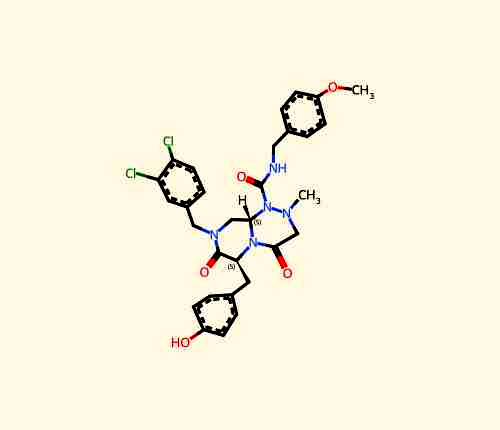 COc1ccc(CNC(=O)N2[C@H]3CN(Cc4ccc(Cl)c(Cl)c4)C(=O)[C@H](Cc4ccc(O)cc4)N3C(=O)CN2C)cc1